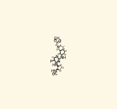 COC(=O)CN1CCc2ccc(Nc3ncc(F)c(N[C@H]4CCC[C@H]4NC=O)n3)cc2C1